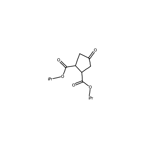 CC(C)OC(=O)C1CC(=O)CC1C(=O)OC(C)C